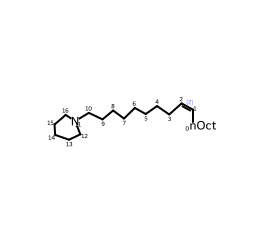 CCCCCCCC/C=C\CCCCCCCCN1CCCCC1